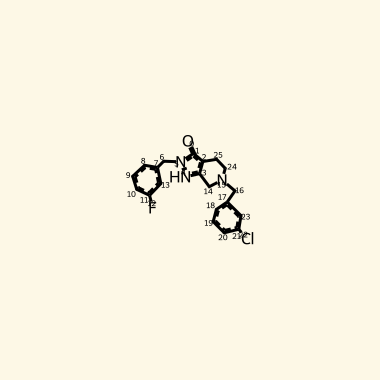 O=c1c2c([nH]n1Cc1cccc(F)c1)CN(Cc1cccc(Cl)c1)CC2